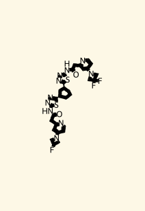 O=C(Cc1cc(N2CC(F)C2)ccn1)Nc1nnc([C@H]2CCC[C@H](c3nnc(NC(=O)Cc4cc(N5CC(F)(F)C5)ccn4)s3)C2)s1